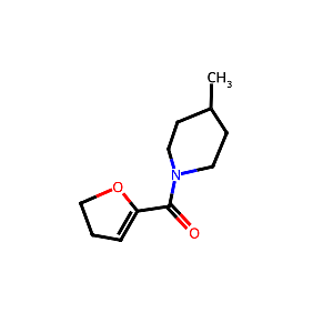 CC1CCN(C(=O)C2=CCCO2)CC1